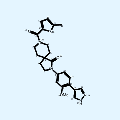 COc1cc(N2CCC3(CCN(C(=O)c4ccc(C)s4)CC3)C2=O)ccc1-c1cn[nH]c1